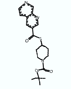 CC(C)(C)OC(=O)N1CCC(SC(=O)c2cnc3cnccc3c2)CC1